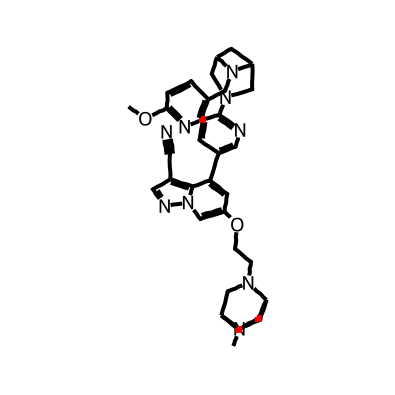 COc1ccc(CN2C3CC2CN(c2ccc(-c4cc(OCCN5CC6CCC5CN6C)cn5ncc(C#N)c45)cn2)C3)cn1